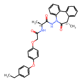 CCc1ccc(Oc2ccc(OCC(=O)N[C@@H](C)C(=O)NN3C(=O)[C@@H](C)c4ccccc4-c4ccccc43)cc2)cc1